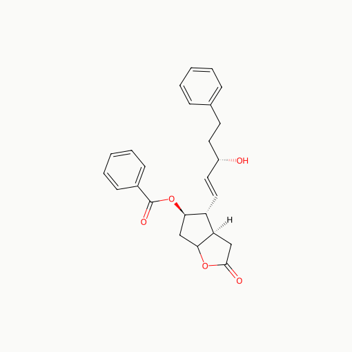 O=C1C[C@H]2C(C[C@@H](OC(=O)c3ccccc3)[C@@H]2/C=C/[C@@H](O)CCc2ccccc2)O1